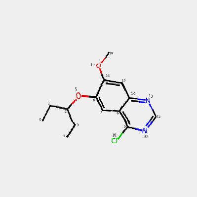 CCC(CC)Oc1cc2c(Cl)ncnc2cc1OC